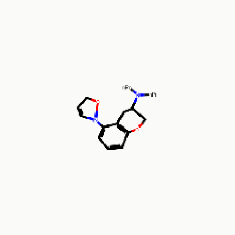 CCCN(CCC)C1COc2cccc(N3C=CCO3)c2C1